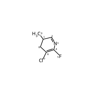 CC1C=NC(F)=C(Cl)C1